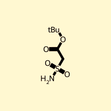 CC(C)(C)OC(=O)CS(N)(=O)=O